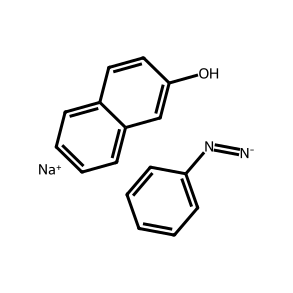 Oc1ccc2ccccc2c1.[N-]=Nc1ccccc1.[Na+]